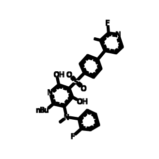 CCCCc1nc(O)c(S(=O)(=O)c2ccc(-c3ccnc(F)c3C)cc2)c(O)c1N(C)c1ccccc1F